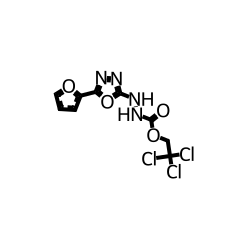 O=C(NNc1nnc(-c2ccco2)o1)OCC(Cl)(Cl)Cl